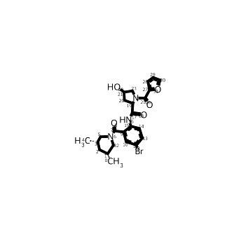 C[C@@H]1C[C@H](C)CN(C(=O)c2cc(Br)ccc2NC(=O)C2CC(O)CN2C(=O)c2ccco2)C1